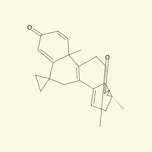 CC12C=CC(=O)C=C1C1(CC1)CC1=C2CC[C@@]23C(=O)CC[C@]2(C)CC=C13